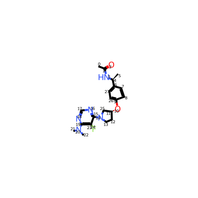 CC(=O)N[C@@H](C)c1ccc(O[C@@H]2CCN(c3ncnc(N(C)C)c3F)C2)cc1